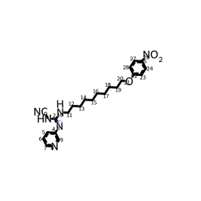 N#CN/C(=N\c1cccnc1)NCCCCCCCCCCOc1ccc([N+](=O)[O-])cc1